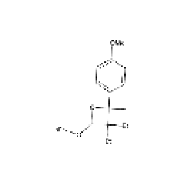 CCCOC1OC(C)(c2ccc(OC)cc2)C1(CC)CC